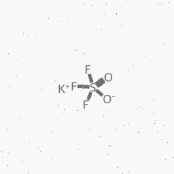 O=S([O-])(F)(F)F.[K+]